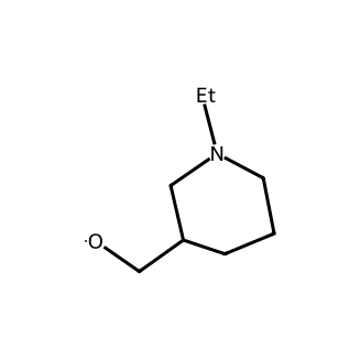 CCN1CCCC(C[O])C1